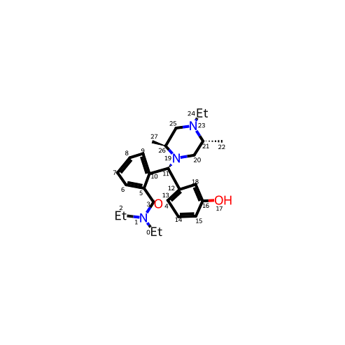 CCN(CC)C(=O)c1ccccc1[C@@H](c1cccc(O)c1)N1C[C@@H](C)N(CC)C[C@@H]1C